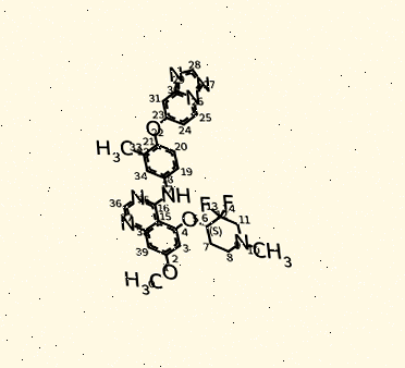 COc1cc(O[C@H]2CCN(C)CC2(F)F)c2c(Nc3ccc(Oc4ccn5ncnc5c4)c(C)c3)ncnc2c1